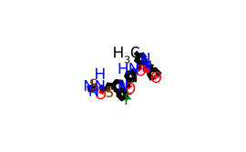 Cc1cnc(N2CC3(CCOCC3)C2)c(C(=O)Nc2ccc(C(=O)N3CCc4cc(C(=O)Nc5ncns5)sc4-c4ccc(F)cc43)cc2)c1